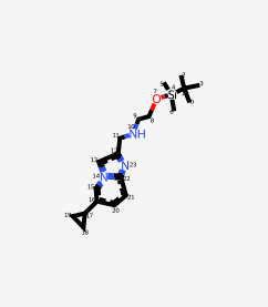 CC(C)(C)[Si](C)(C)OCCNCc1cn2cc(C3CC3)ccc2n1